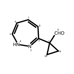 O=CC1(C2=NNC=CC=C2)CC1